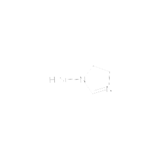 [SiH3]N1C=NCC1